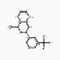 Nc1nc(-c2cccc(C(F)(F)F)c2)cc2ncccc12